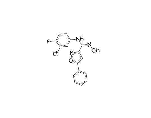 O/N=C(/Nc1ccc(F)c(Cl)c1)c1cc(-c2ccccc2)on1